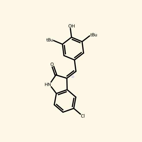 CC(C)(C)c1cc(/C=C2\C(=O)Nc3ccc(Cl)cc32)cc(C(C)(C)C)c1O